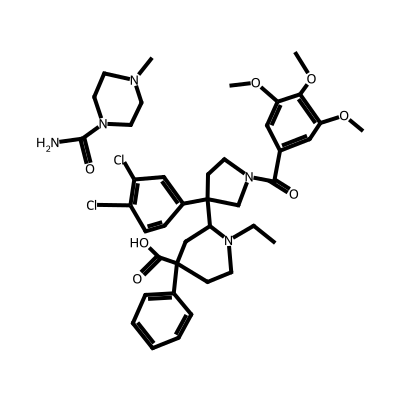 CCN1CCC(C(=O)O)(c2ccccc2)CC1C1(c2ccc(Cl)c(Cl)c2)CCN(C(=O)c2cc(OC)c(OC)c(OC)c2)C1.CN1CCN(C(N)=O)CC1